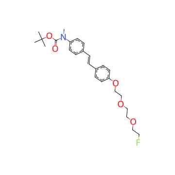 CN(C(=O)OC(C)(C)C)c1ccc(C=Cc2ccc(OCCOCCOCCF)cc2)cc1